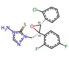 Nn1cnn(C[C@]2(c3ccc(F)cc3F)O[C@@H]2c2ccccc2Cl)c1=S